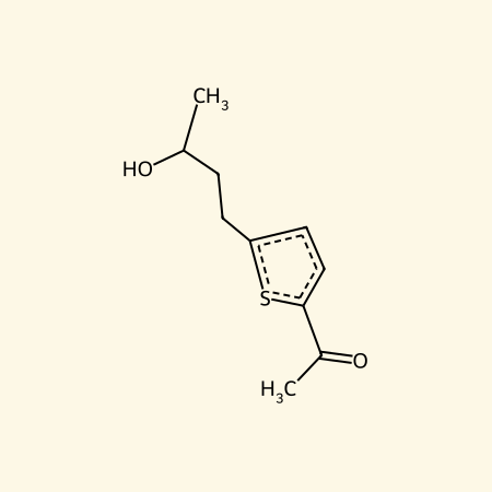 CC(=O)c1ccc(CCC(C)O)s1